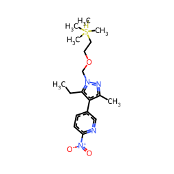 CCc1c(-c2ccc([N+](=O)[O-])nc2)c(C)nn1COCC[SH](C)(C)(C)C